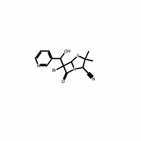 CC1(C)SC2N(C(=O)C2(Br)C(O)c2cccnc2)C1C#N